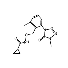 Cc1cccc(-n2nnn(C)c2=O)c1CONC(=O)C1CC1